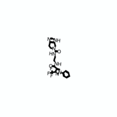 O=C(NCCNC(=O)N1CCc2nc[nH]c2C1)c1cn(-c2ccccc2)nc1C(F)(F)F